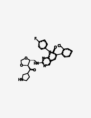 O=C(C1CCNC1)[C@H]1OCO[C@@H]1CNc1ncc2cc(-c3ccccc3Cl)c(=O)n(-c3ccc(F)cc3)c2n1